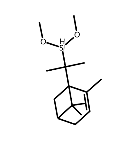 CO[SiH](OC)C(C)(C)C12CC(CC=C1C)C2(C)C